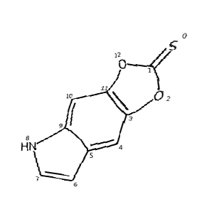 S=c1oc2cc3cc[nH]c3cc2o1